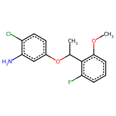 COc1cccc(F)c1C(C)Oc1ccc(Cl)c(N)c1